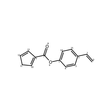 C=Cc1ccc(OC(=O)C2=CCC=C2)cc1